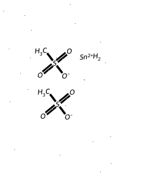 CS(=O)(=O)[O-].CS(=O)(=O)[O-].[SnH2+2]